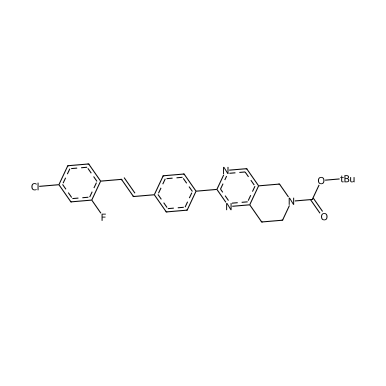 CC(C)(C)OC(=O)N1CCc2nc(-c3ccc(C=Cc4ccc(Cl)cc4F)cc3)ncc2C1